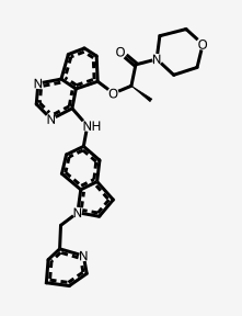 C[C@@H](Oc1cccc2ncnc(Nc3ccc4c(ccn4Cc4ccccn4)c3)c12)C(=O)N1CCOCC1